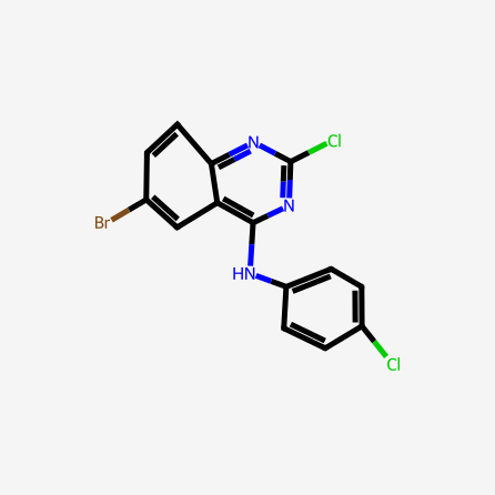 Clc1ccc(Nc2nc(Cl)nc3ccc(Br)cc23)cc1